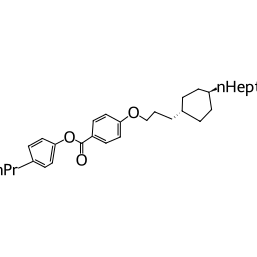 CCCCCCC[C@H]1CC[C@H](CCCOc2ccc(C(=O)Oc3ccc(CCC)cc3)cc2)CC1